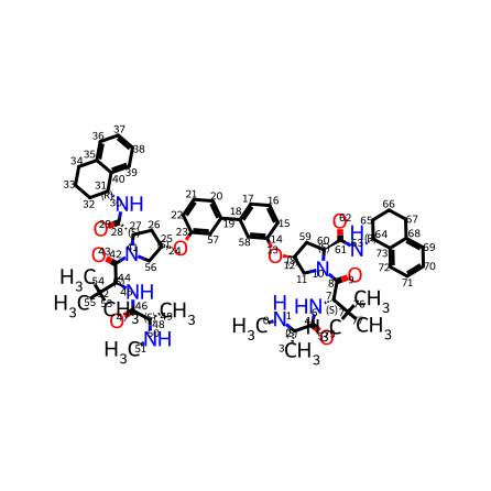 CN[C@@H](C)C(=O)N[C@H](C(=O)N1C[C@@H](Oc2cccc(-c3cccc(O[C@H]4C[C@@H](C(=O)N[C@@H]5CCCc6ccccc65)N(C(=O)[C@@H](NC(=O)[C@H](C)NC)C(C)(C)C)C4)c3)c2)C[C@H]1C(=O)N[C@@H]1CCCc2ccccc21)C(C)(C)C